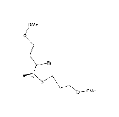 COOCCCO[C@@H](C)C(Br)CCOOC